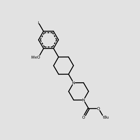 COc1cc(I)ccc1C1CCC(N2CCN(C(=O)OC(C)(C)C)CC2)CC1